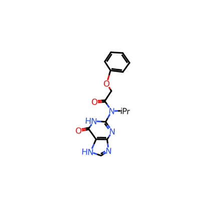 CC(C)N(C(=O)COc1ccccc1)c1nc2nc[nH]c2c(=O)[nH]1